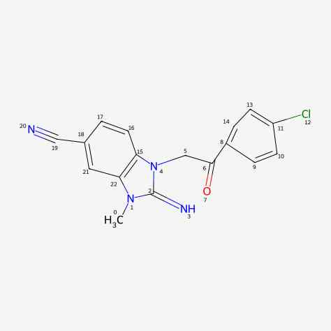 Cn1c(=N)n(CC(=O)c2ccc(Cl)cc2)c2ccc(C#N)cc21